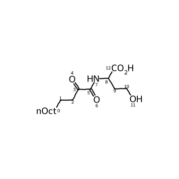 CCCCCCCCCCC(=O)C(=O)NC(CCO)C(=O)O